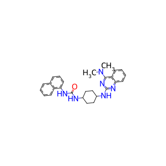 CN(C)c1nc(NC2CCC(NC(=O)Nc3cccc4ccccc34)CC2)nc2ccccc12